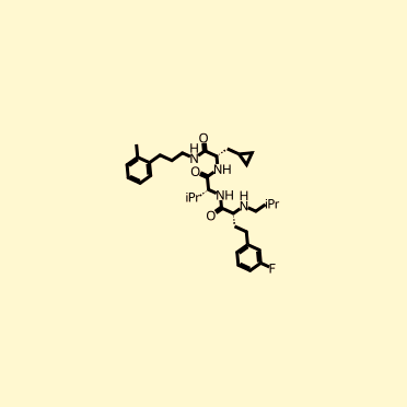 Cc1ccccc1CCCNC(=O)[C@H](CC1CC1)NC(=O)[C@H](NC(=O)[C@@H](CCc1cccc(F)c1)NCC(C)C)C(C)C